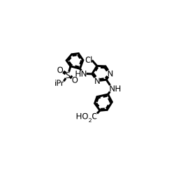 CC(C)S(=O)(=O)c1ccccc1Nc1nc(Nc2ccc(C(=O)O)cc2)ncc1Cl